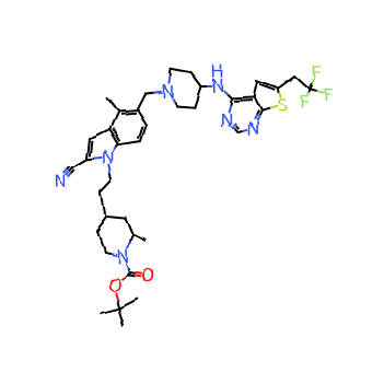 Cc1c(CN2CCC(Nc3ncnc4sc(CC(F)(F)F)cc34)CC2)ccc2c1cc(C#N)n2CCC1CCN(C(=O)OC(C)(C)C)C(C)C1